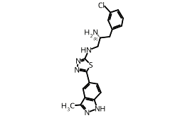 Cc1n[nH]c2ccc(-c3nnc(NC[C@H](N)Cc4cccc(Cl)c4)s3)cc12